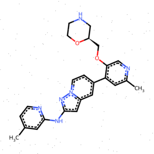 Cc1ccnc(Nc2cc3cc(-c4cc(C)ncc4OC[C@@H]4CNCCO4)ccn3n2)c1